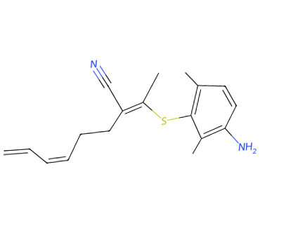 C=C/C=C\CC/C(C#N)=C(/C)Sc1c(C)ccc(N)c1C